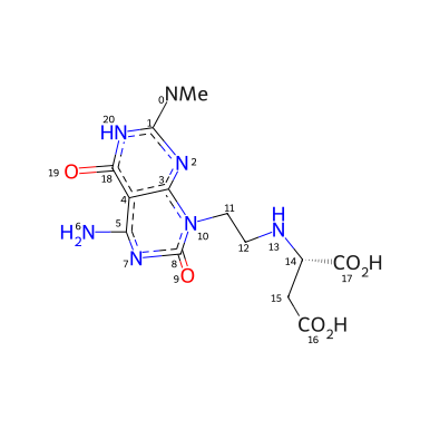 CNc1nc2c(c(N)nc(=O)n2CCN[C@@H](CC(=O)O)C(=O)O)c(=O)[nH]1